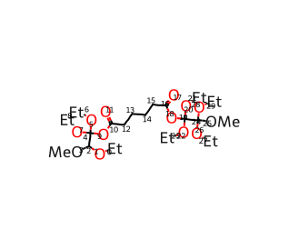 CCOC(OC)C(OCC)(OCC)OC(=O)CCCCC(=O)OC(OCC)(OCC)C(OC)(OCC)OCC